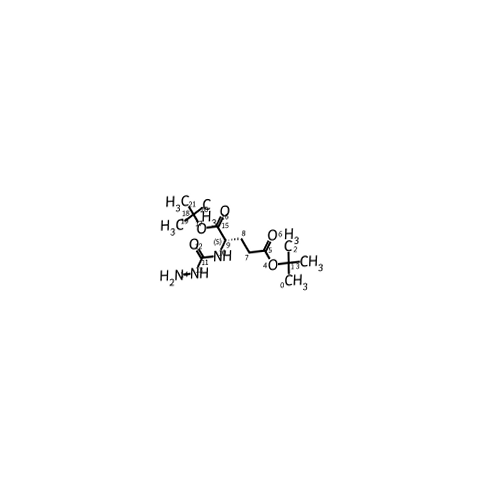 CC(C)(C)OC(=O)CC[C@H](NC(=O)NN)C(=O)OC(C)(C)C